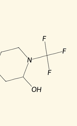 OC1CCCCN1C(F)(F)F